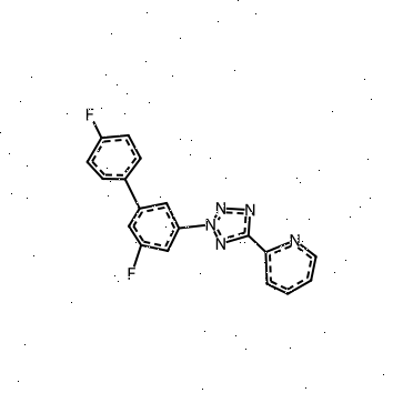 Fc1ccc(-c2cc(F)cc(-n3nnc(-c4ccccn4)n3)c2)cc1